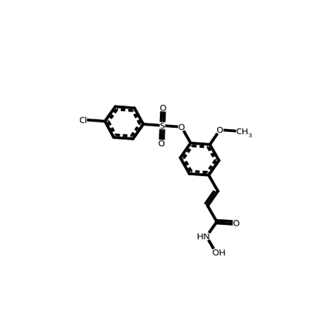 COc1cc(C=CC(=O)NO)ccc1OS(=O)(=O)c1ccc(Cl)cc1